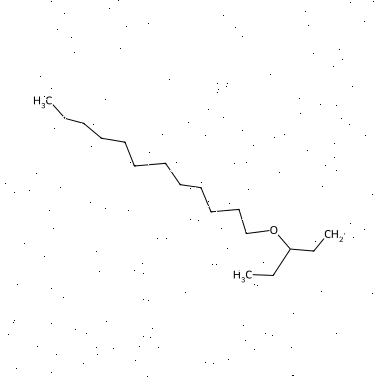 [CH2]CC(CC)OCCCCCCCCCCCC